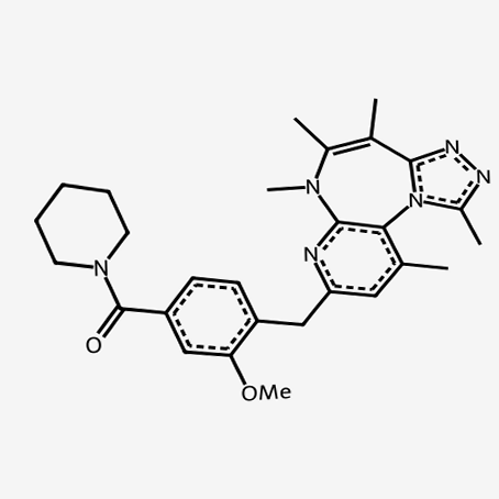 COc1cc(C(=O)N2CCCCC2)ccc1Cc1cc(C)c2c(n1)N(C)C(C)=C(C)c1nnc(C)n1-2